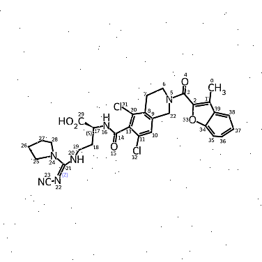 Cc1c(C(=O)N2CCc3c(cc(Cl)c(C(=O)N[C@@H](CCN/C(=N/C#N)N4CCCC4)C(=O)O)c3Cl)C2)oc2ccccc12